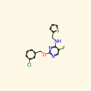 Fc1cnc(OCc2cccc(Cl)c2)nc1NCc1cccs1